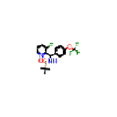 CC(C)(C)[S+]([O-])NC(c1ccc(OC(F)(F)F)cc1)c1ncccc1F